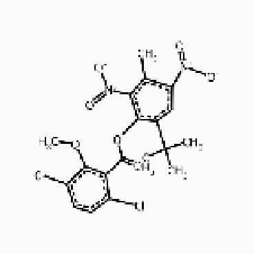 COc1c(Cl)ccc(Cl)c1C(=O)Oc1c(C(C)(C)C)cc([N+](=O)[O-])c(C)c1[N+](=O)[O-]